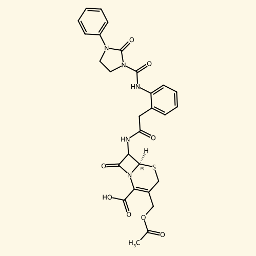 CC(=O)OCC1=C(C(=O)O)N2C(=O)C(NC(=O)Cc3ccccc3NC(=O)N3CCN(c4ccccc4)C3=O)[C@H]2SC1